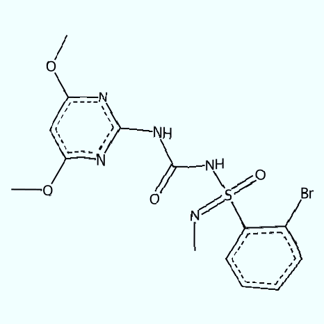 CN=S(=O)(NC(=O)Nc1nc(OC)cc(OC)n1)c1ccccc1Br